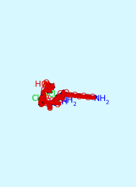 COCCN(CCN(CCOC)C(=O)Oc1cc2c(c3ccccc13)[C@H](CCl)CN2C(=O)c1ccc(C(=O)N2C[C@@H](CCl)c3c2cc(OP(=O)(O)O)c2ccccc32)s1)C(=O)OCc1ccc(N(C(=O)[C@@H](NC(=O)CCOCCOCCOCCOCCOCCOCCN)C(C)C)[C@@H](C)C(N)=O)cc1